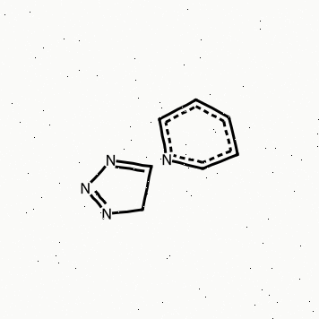 C1=NN=NC1.c1ccncc1